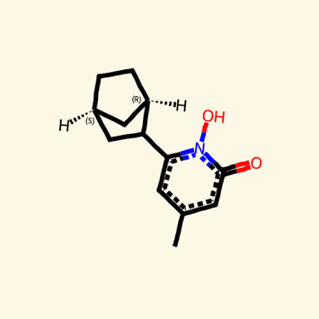 Cc1cc(C2C[C@H]3CC[C@@H]2C3)n(O)c(=O)c1